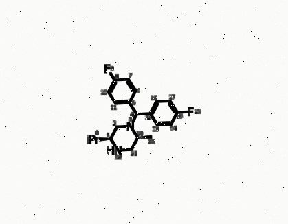 CC(C)[C@H]1CN(C(c2ccc(F)cc2)c2ccc(F)cc2)[C@@H](C)CN1